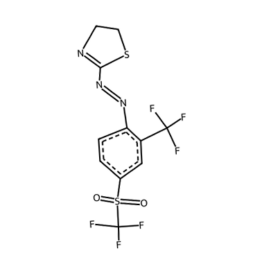 O=S(=O)(c1ccc(/N=N/C2=NCCS2)c(C(F)(F)F)c1)C(F)(F)F